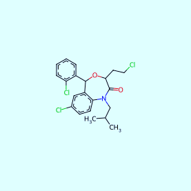 CC(C)CN1C(=O)C(CCCl)OC(c2ccccc2Cl)c2cc(Cl)ccc21